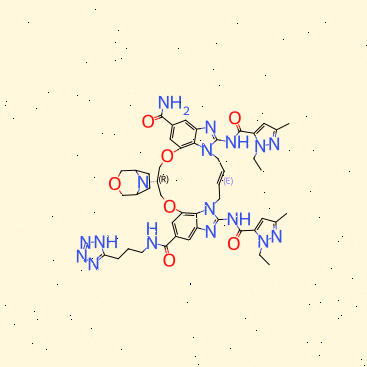 CCn1nc(C)cc1C(=O)Nc1nc2cc(C(N)=O)cc3c2n1C/C=C/Cn1c(NC(=O)c2cc(C)nn2CC)nc2cc(C(=O)NCCCc4nnn[nH]4)cc(c21)OC[C@H](N1C2CCC1COC2)CO3